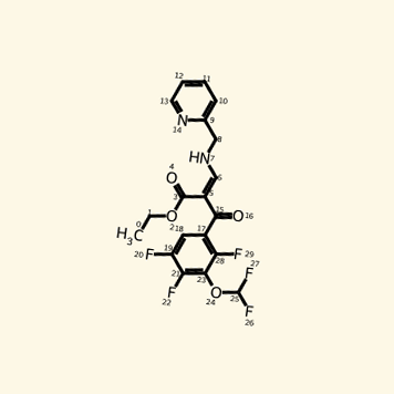 CCOC(=O)C(=CNCc1ccccn1)C(=O)c1cc(F)c(F)c(OC(F)F)c1F